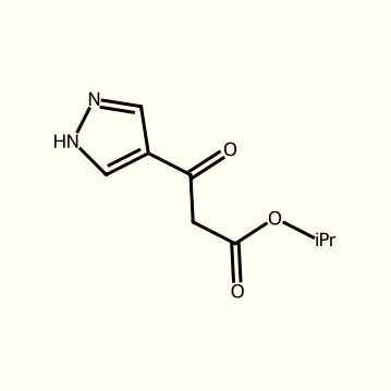 CC(C)OC(=O)CC(=O)c1cn[nH]c1